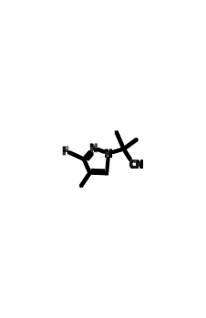 Cc1cn(C(C)(C)C#N)nc1F